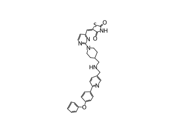 O=C1NC(=O)/C(=C\c2ccnc(N3CCC(CNCc4ccc(-c5ccc(Oc6ccccc6)cc5)nc4)CC3)n2)S1